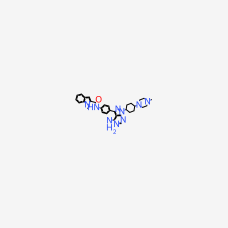 CN1CCN(C2CCC(n3nc(-c4ccc(NC(=O)c5cc6ccccc6n5C)cc4)c4c(N)ncnc43)CC2)CC1